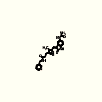 Cc1c(CCC(=O)NCc2cccnc2)c[nH]c1C=C1C(=O)Nc2ccc(NC(N)=O)cc21